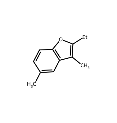 CCc1oc2ccc(C)cc2c1C